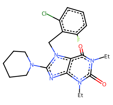 CCn1c(=O)c2c(nc(N3CCCCC3)n2Cc2c(F)cccc2Cl)n(CC)c1=O